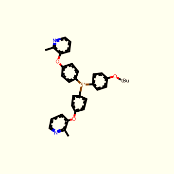 Cc1ncccc1Oc1ccc([S+](c2ccc(Oc3cccnc3C)cc2)c2ccc(OC(C)(C)C)cc2)cc1